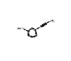 [CH2]C#Cc1cccc(OC)c1